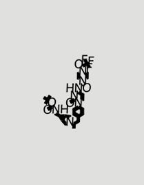 CC(Cc1ccc(-n2ccc(NC(=O)N3CCN(C(=O)C(F)(F)F)CC3)nc2=O)cc1)N1CC2C(CNC(=O)OC(C)(C)C)C2C1